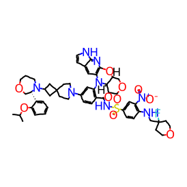 CC(C)Oc1ccccc1[C@@H]1COCCCN1C1CC2(CCN(c3ccc(C(=O)NS(=O)(=O)c4ccc(NCC5(F)CCOCC5)c([N+](=O)[O-])c4)c(N4c5cc6cc[nH]c6nc5O[C@H]5COCC[C@@H]54)c3)CC2)C1